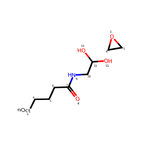 C1CO1.CCCCCCCCCCCC(=O)NCC(O)O